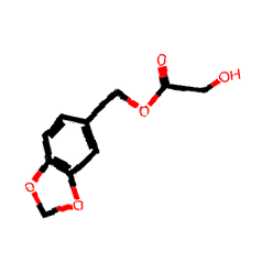 O=C(CO)OCc1ccc2c(c1)OCO2